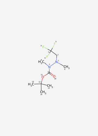 CN(CC(F)(F)F)N(C)C(=O)OC(C)(C)C